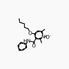 CCCCCOc1cc(C)[n+]([O-])c(C)c1C(=O)Nc1ccccc1